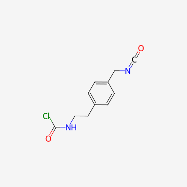 O=C=NCc1ccc(CCNC(=O)Cl)cc1